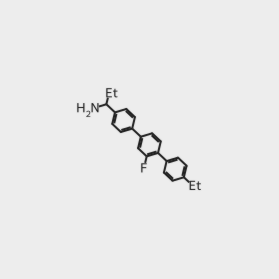 CCc1ccc(-c2ccc(-c3ccc(C(N)CC)cc3)cc2F)cc1